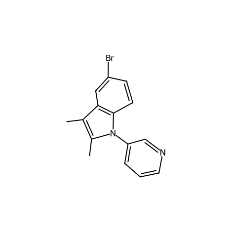 Cc1c(C)n(-c2cccnc2)c2ccc(Br)cc12